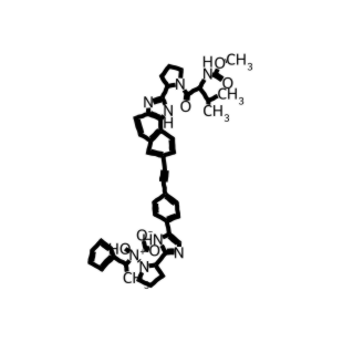 COC(=O)NC(C(=O)N1CCCC1c1nc2ccc3cc(C#Cc4ccc(-c5cnc(C6CCCN6[N+](O)(C(=O)[O-])C(C)c6ccccc6)[nH]5)cc4)ccc3c2[nH]1)C(C)C